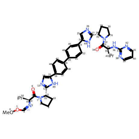 COO/C=N\[C@H](C(=O)N1CCC[C@H]1c1ncc(-c2ccc(-c3ccc(-c4cnc([C@@H]5CCCN5C(=O)[C@@H](Nc5ncccn5)C(C)C)[nH]4)cc3)cc2)[nH]1)C(C)C